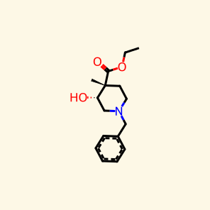 CCOC(=O)[C@]1(C)CCN(Cc2ccccc2)C[C@@H]1O